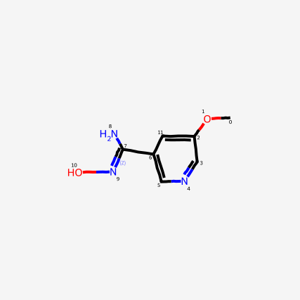 COc1cncc(/C(N)=N/O)c1